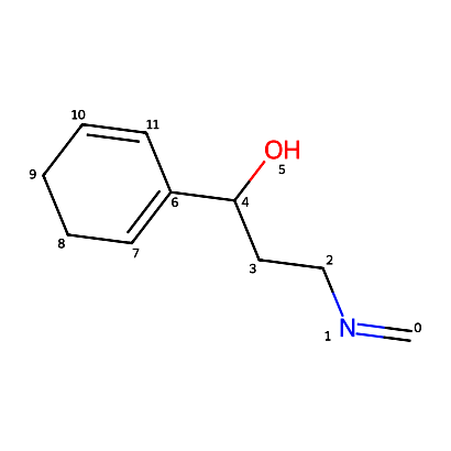 C=NCCC(O)C1=CCCC=C1